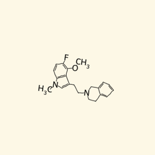 COc1c(F)ccc2c1c(CCN1CCc3ccccc3C1)cn2C